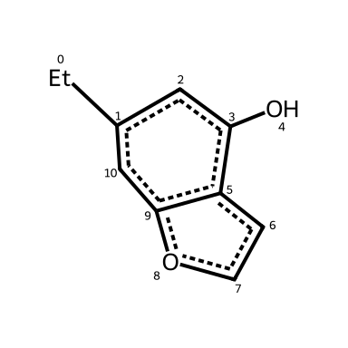 CCc1cc(O)c2ccoc2c1